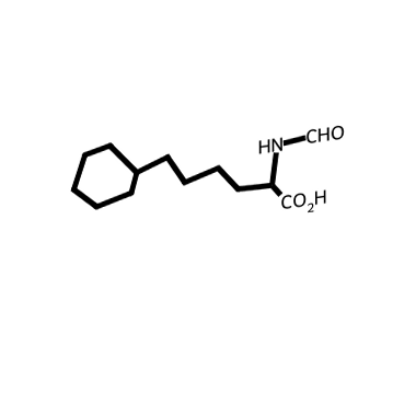 O=CNC(CCCCC1CCCCC1)C(=O)O